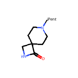 CCCC(C)N1CCC2(CC1)CNC2=O